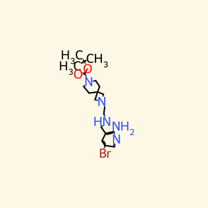 CC(C)(C)OC(=O)N1CCC2(CC1)CN(CCNCc1cc(Br)cnc1N)C2